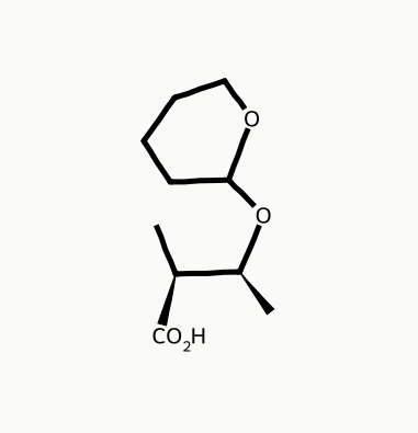 C[C@H](OC1CCCCO1)[C@H](C)C(=O)O